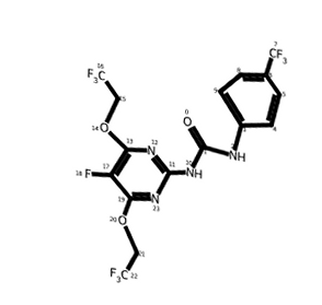 O=C(Nc1ccc(C(F)(F)F)cc1)Nc1nc(OCC(F)(F)F)c(F)c(OCC(F)(F)F)n1